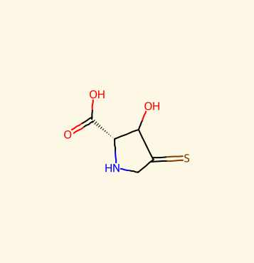 O=C(O)[C@H]1NCC(=S)C1O